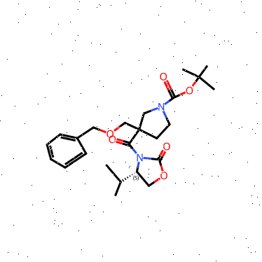 CC(C)[C@H]1COC(=O)N1C(=O)C1(COCc2ccccc2)CCN(C(=O)OC(C)(C)C)C1